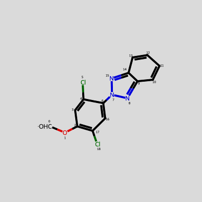 O=[C]Oc1cc(Cl)c(-n2nc3ccccc3n2)cc1Cl